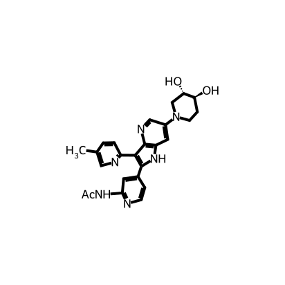 CC(=O)Nc1cc(-c2[nH]c3cc(N4CC[C@H](O)[C@@H](O)C4)cnc3c2-c2ccc(C)cn2)ccn1